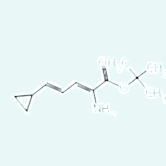 CC(C)(C)OC(=O)C(N)=CC=CC1CC1